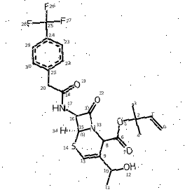 C=CC(C)(C)OC(=O)C1C(C(C)O)=CS[C@H]2C(NC(=O)Cc3ccc(C(F)(F)F)cc3)C(=O)N12